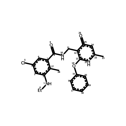 CCNc1cc(Cl)cc(C(=O)NCc2c(Oc3ccccc3)[nH]c(C)cc2=O)c1C